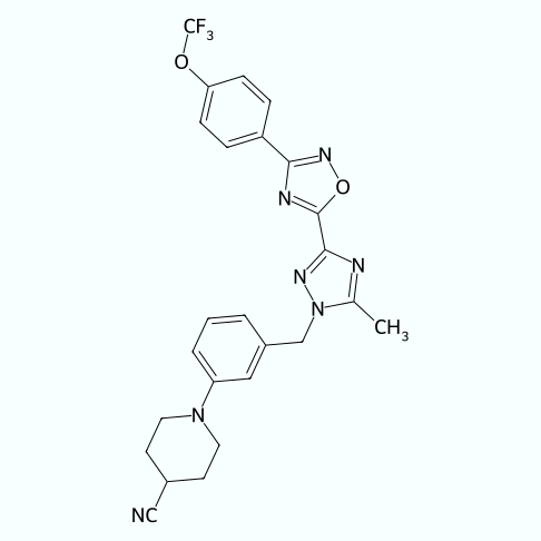 Cc1nc(-c2nc(-c3ccc(OC(F)(F)F)cc3)no2)nn1Cc1cccc(N2CCC(C#N)CC2)c1